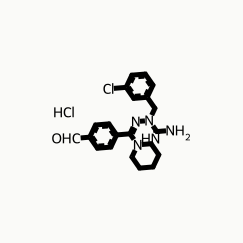 Cl.N=C(N)N(Cc1cccc(Cl)c1)N=C(c1ccc(C=O)cc1)N1CCCCC1